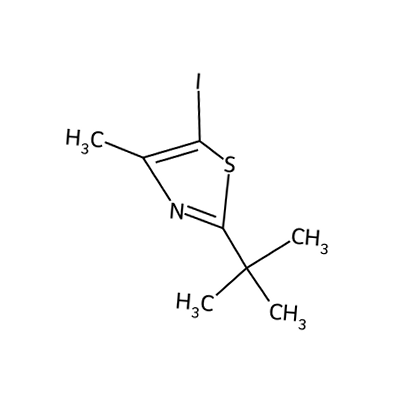 Cc1nc(C(C)(C)C)sc1I